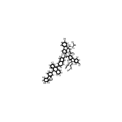 CCCCC1(CCCC)c2cc(C)ccc2-c2ccc(N(c3ccc4c(c3)C(CCCC)(CCCC)c3cc(C)ccc3-4)c3ccc4cc(-c5c6ccccc6c(-c6ccc7c(c6)oc6ccccc67)c6ccccc56)ccc4c3)cc21